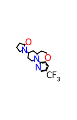 O=C1CCCN1C1CCN2c3ncc(C(F)(F)F)cc3OCCC2C1